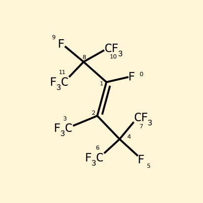 FC(=C(C(F)(F)F)C(F)(C(F)(F)F)C(F)(F)F)C(F)(C(F)(F)F)C(F)(F)F